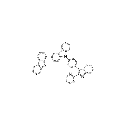 c1cnc(-c2nc3ccccc3n2-c2ccc(-n3c4ccccc4c4cc(-c5cccc6c5sc5ccccc56)ccc43)cc2)nc1